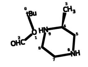 CC(C)(C)OC=O.C[C@H]1CNCCN1